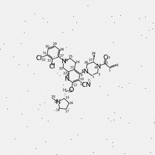 C=CC(=O)N1C[C@H](C)N(c2c(C#N)c(OC[C@@H]3CCCN3C)nc3c2CCN(c2cccc(Cl)c2Cl)C3)C[C@H]1C